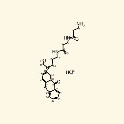 Cl.NCCC(=O)NCCC(=O)NCCCN(C=O)c1ccc2oc3ccccc3c(=O)c2c1